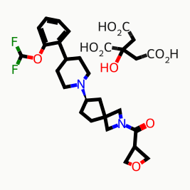 O=C(C1COC1)N1CC2(CC[C@@H](N3CCC(c4ccccc4OC(F)F)CC3)C2)C1.O=C(O)CC(O)(CC(=O)O)C(=O)O